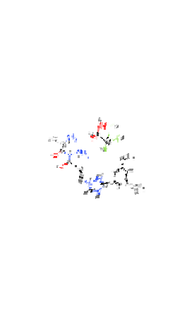 CC(C)[C@H](N)C(=O)N(N)C(=O)C=Cn1cnc(-c2cc(C(F)(F)F)cc(C(F)(F)F)c2)n1.O=C(O)C(F)(F)F